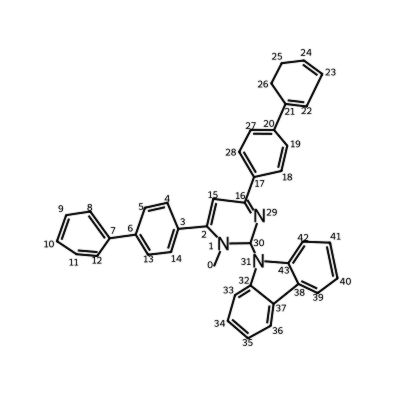 CN1C(c2ccc(-c3ccccc3)cc2)=CC(c2ccc(C3=CC=CCC3)cc2)=NC1n1c2ccccc2c2ccccc21